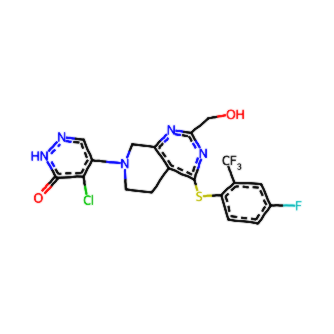 O=c1[nH]ncc(N2CCc3c(nc(CO)nc3Sc3ccc(F)cc3C(F)(F)F)C2)c1Cl